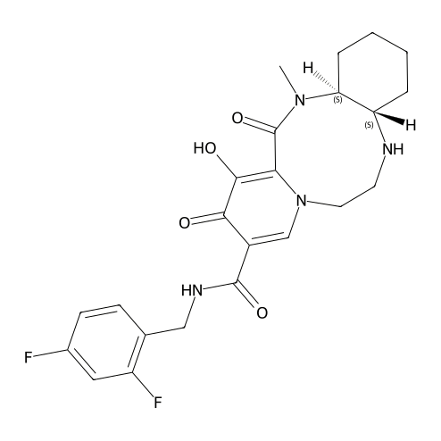 CN1C(=O)c2c(O)c(=O)c(C(=O)NCc3ccc(F)cc3F)cn2CCN[C@H]2CCCC[C@@H]21